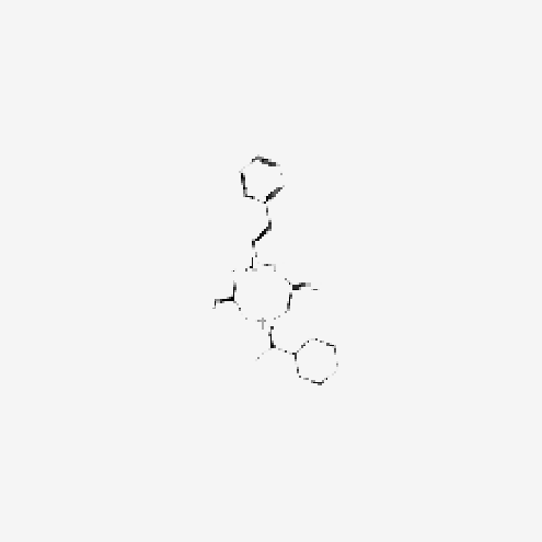 CC(C1CCCCC1)N1CC(=O)OB(/C=C/c2ccccc2)OC(=O)C1